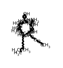 C=C1NC([C@H](O)CC(N)=O)C(=O)N2CC[C@H](O)C2C(=O)N[C@H](OCCOCCOCCOCCOC)[C@H](O)C[C@H](NC(=O)CCCCCCCCC(C)CC(C)CC)C(=O)NC([C@@H](C)O)C(=O)N2C[C@H](O)CC2C(=O)NC1[C@H](O)[C@@H](O)c1ccc(O)cc1